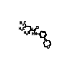 CC(C)C[C@H](N)C(=O)Nc1cccc(N2CCOCC2)c1